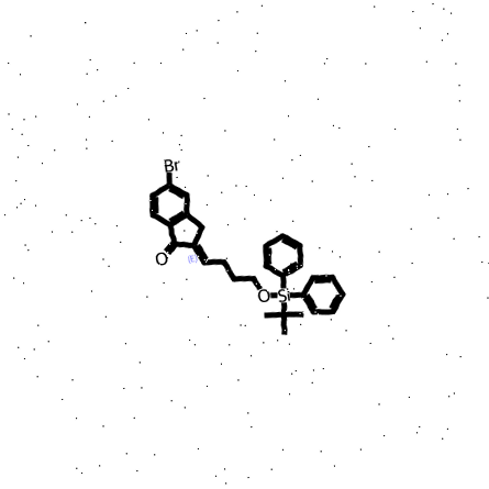 CC(C)(C)[Si](OCCC/C=C1\Cc2cc(Br)ccc2C1=O)(c1ccccc1)c1ccccc1